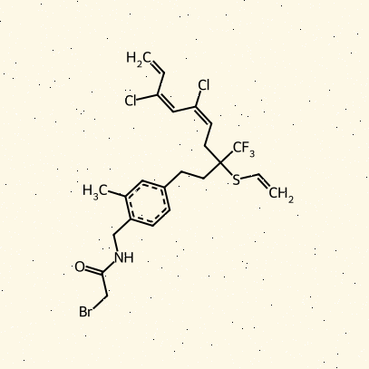 C=CSC(C/C=C(Cl)\C=C(\Cl)C=C)(CCc1ccc(CNC(=O)CBr)c(C)c1)C(F)(F)F